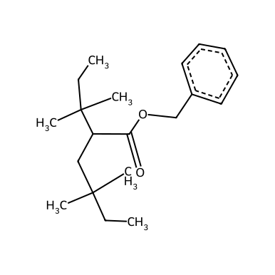 CCC(C)(C)CC(C(=O)OCc1ccccc1)C(C)(C)CC